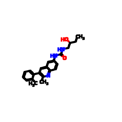 CC[C@@H](O)CNC(=O)Nc1ccc2nc(C)c(-c3ccccc3C)cc2c1